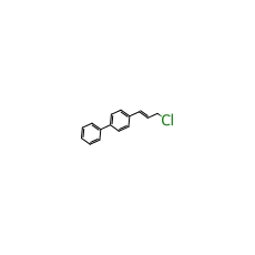 ClC/C=C/c1ccc(-c2ccccc2)cc1